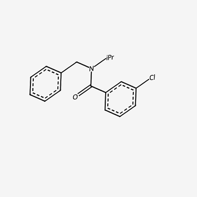 CC(C)N(Cc1ccccc1)C(=O)c1cccc(Cl)c1